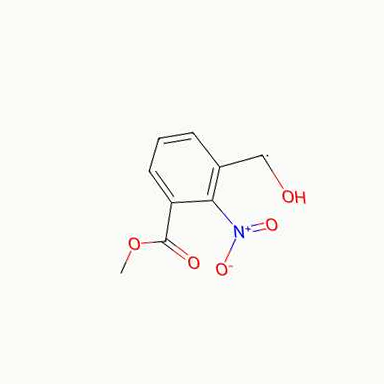 COC(=O)c1cccc([CH]O)c1[N+](=O)[O-]